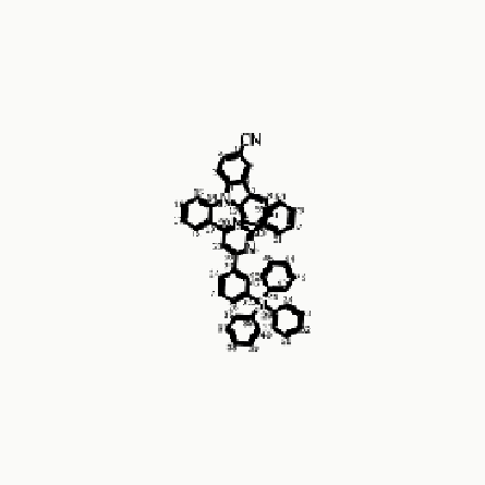 N#Cc1ccc2c(c1)c1ccccc1n2-c1ccccc1-c1cc(-c2cccc([Si](c3ccccc3)(c3ccccc3)c3ccccc3)c2)nc(-c2ccccc2)n1